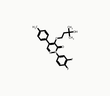 Cc1ccc(-c2cnn(-c3ccc(F)c(F)c3)c(=O)c2OCCC(C)(C)O)cc1